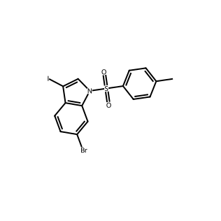 Cc1ccc(S(=O)(=O)n2cc(I)c3ccc(Br)cc32)cc1